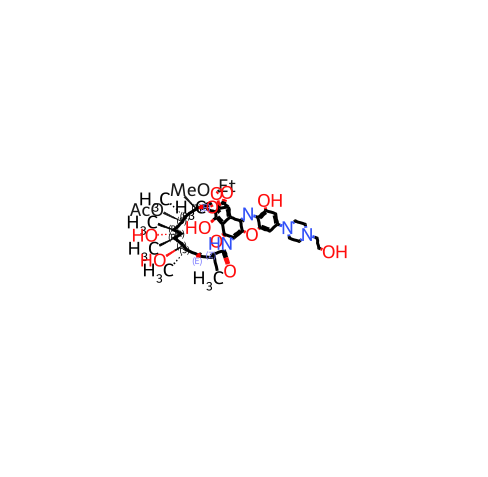 CCOc1c(C)c(O)c2c(=O)c3c4oc5cc(N6CCN(CCO)CC6)cc(O)c5nc-4c2c1C(=O)O/C=C/[C@H](OC)[C@@H](C)[C@@H](OC(C)=O)[C@H](C)[C@H](O)[C@H](C)[C@@H](O)[C@@H](C)/C=C/C=C(/C)C(=O)N3